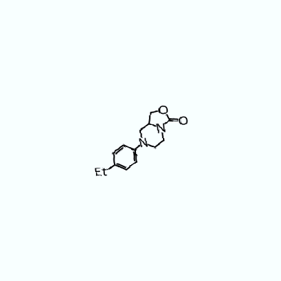 CCc1ccc(N2CCN3C(=O)OCC3C2)cc1